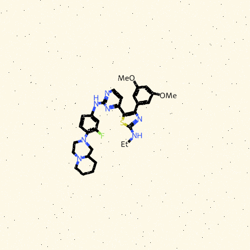 CCNc1nc(-c2cc(OC)cc(OC)c2)c(-c2ccnc(Nc3ccc(N4CCN5CCCCC5C4)c(F)c3)n2)s1